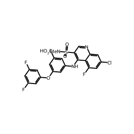 CNS(=O)(=O)c1cnc2cc(Cl)cc(F)c2c1Nc1cc(Oc2cc(F)cc(F)c2)cc(C(=O)O)c1